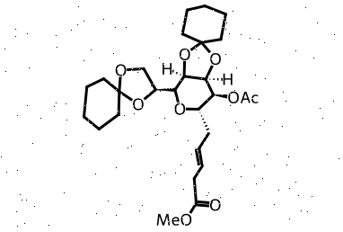 COC(=O)C/C=C/C[C@@H]1OC([C@@H]2COC3(CCCCC3)O2)[C@H]2OC3(CCCCC3)O[C@H]2[C@H]1OC(C)=O